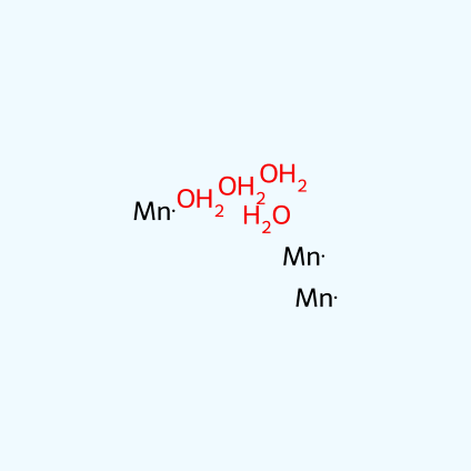 O.O.O.O.[Mn].[Mn].[Mn]